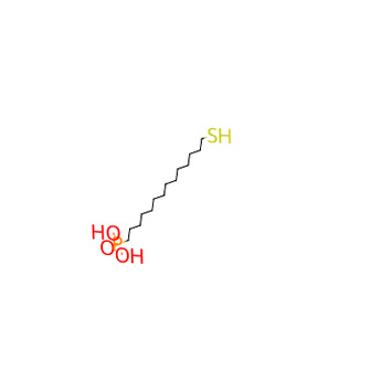 O=P(O)(O)CCCCCCCCCCCCCCS